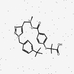 C[C@H](Cc1cn(Cc2ccc(C(C)(C)C)cc2)nn1)OC(=O)c1ccc(SC(C)(C)C(=O)O)cc1